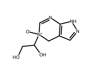 [O-][N+]1(C(O)CO)C=Nc2[nH]ncc2C1